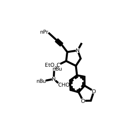 CCCC#CC1C(C(=O)OCC)C(c2ccc3c(c2)OCO3)CN1C.CCCCN(C=O)CCCC